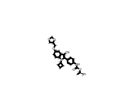 CC(C)[C@@H](C)OC(=O)Nc1ccc(-c2c(C#N)c3cc(OCC4COCO4)ccc3n2C2CCC2)cc1